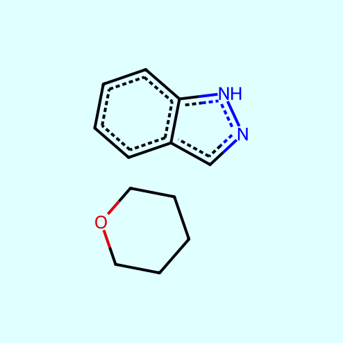 C1CCOCC1.c1ccc2[nH]ncc2c1